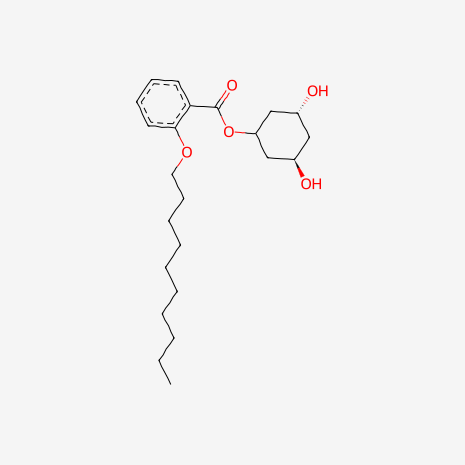 CCCCCCCCCCOc1ccccc1C(=O)OC1C[C@H](O)C[C@@H](O)C1